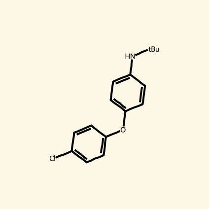 CC(C)(C)Nc1ccc(Oc2ccc(Cl)cc2)cc1